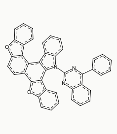 c1ccc(-c2nc(-n3c4ccccc4c4c5c(ccc6oc7ccccc7c65)c5oc6ccccc6c5c43)nc3ccccc23)cc1